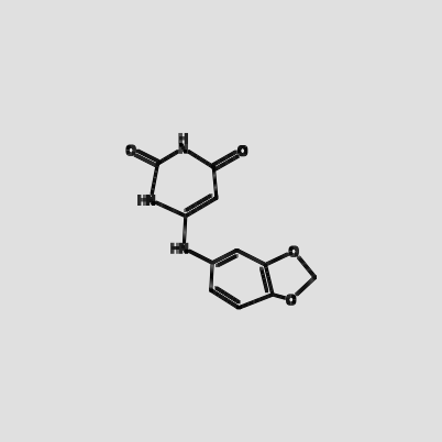 O=c1cc(Nc2ccc3c(c2)OCO3)[nH]c(=O)[nH]1